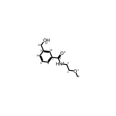 COCCNC(=O)c1cccc(CO)c1